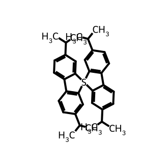 CC(C)c1ccc2c(c1)S1(c3cc(C(C)C)ccc3-2)c2cc(C(C)C)ccc2-c2ccc(C(C)C)cc21